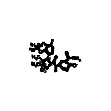 [2H]C([2H])([2H])Oc1c([C@@H]2[C@@H](C(=O)Nc3cc[n+]([O-])c(C(N)=O)c3)O[C@@](C)(C(F)(F)F)[C@@H]2C)ccc(F)c1F